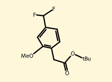 COc1cc(C(F)F)ccc1CC(=O)OC(C)(C)C